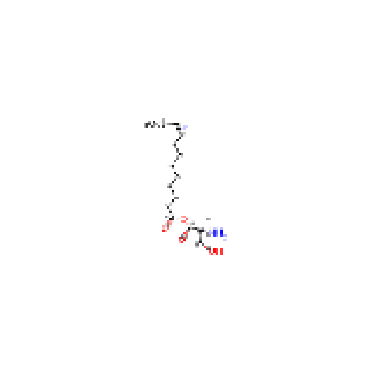 CCCCCCCC/C=C\CCCCCCCC(=O)OC(=O)[C@@](C)(N)CO